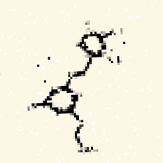 COCOc1cc(F)cc(OCc2cnc(C)n2C)c1